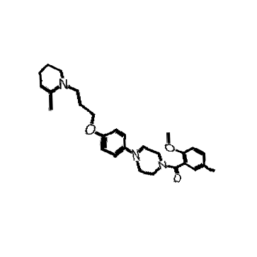 COc1ccc(C)cc1C(=O)N1CCN(c2ccc(OCCCN3CCCCC3C)cc2)CC1